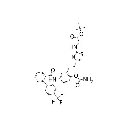 CC(C)(C)OC(=O)CNc1nc(CCc2cc(NC(=O)c3ccccc3-c3ccc(C(F)(F)F)cc3)ccc2OC(N)=O)cs1